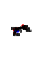 CCCCC(CC)COC(C)(C)C(=O)CCCCCOC(C)(C)C(=O)NCCOC=O